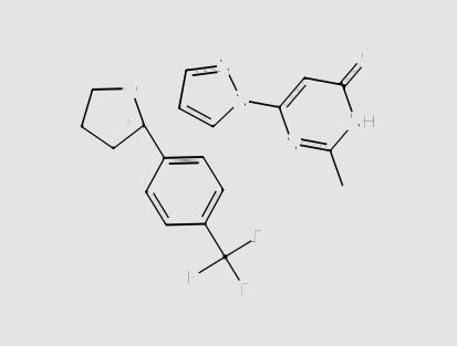 Cc1nc(-n2cc([C@]3(c4ccc(C(F)(F)F)cc4)CCCO3)cn2)cc(=O)[nH]1